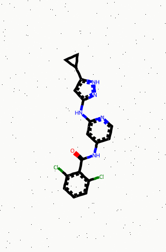 O=C(Nc1ccnc(Nc2cc(C3CC3)[nH]n2)c1)c1c(Cl)cccc1Cl